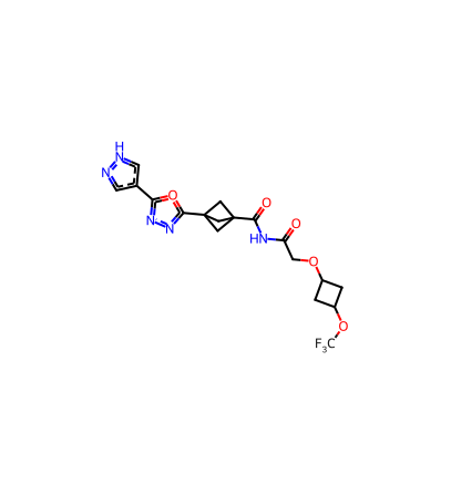 O=C(COC1CC(OC(F)(F)F)C1)NC(=O)C12CC(c3nnc(-c4cn[nH]c4)o3)(C1)C2